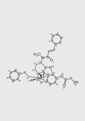 CN(C(=O)/C=C/c1ccccc1)C1CC[C@H]2[C@H]3Cc4ccc(OC(=O)CO)c5c4[C@@]2(CCN3CCc2ccccc2)C1O5